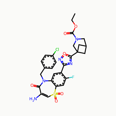 CCOC(=O)N1CC2CC(c3nc(-c4cc5c(cc4F)S(=O)(=O)C=C(N)C(=O)N5Cc4ccc(Cl)cc4)no3)(C2)C1